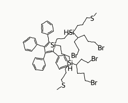 CSCCC[SiH](CCC[Si]1(CCC[SiH](CCCSC)C(CCBr)CCCBr)C(c2ccccc2)=C(c2ccccc2)C(c2ccccc2)=C1c1ccccc1)C(CCBr)CCCBr